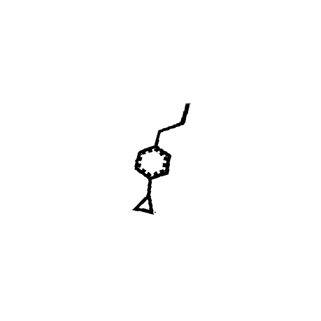 CCCc1ccc(C2[CH]C2)cc1